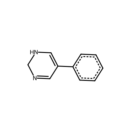 C1=NCNC=C1c1ccccc1